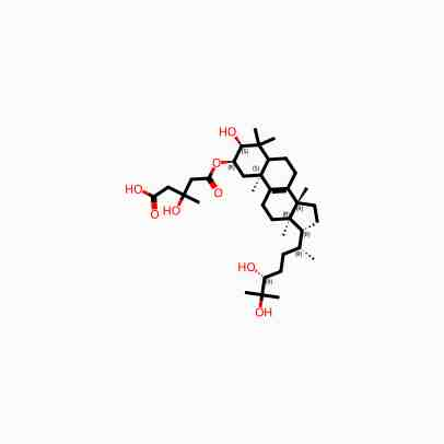 C[C@H](CC[C@@H](O)C(C)(C)O)[C@H]1CC[C@@]2(C)C3=C(CC[C@]12C)[C@@]1(C)C[C@@H](OC(=O)CC(C)(O)CC(=O)O)[C@@H](O)C(C)(C)C1CC3